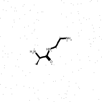 C[C@@H](N)C(=O)NCCN